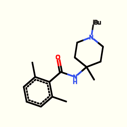 CCC(C)N1CCC(C)(NC(=O)c2c(C)cccc2C)CC1